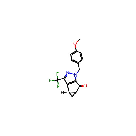 COc1ccc(Cn2nc(C(F)(F)F)c3c2C(=O)C2C[C@H]32)cc1